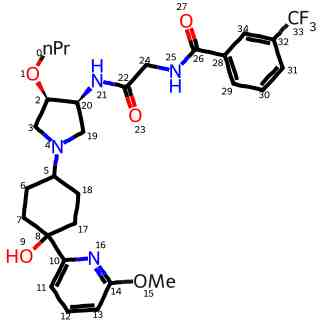 CCCO[C@@H]1CN(C2CCC(O)(c3cccc(OC)n3)CC2)C[C@@H]1NC(=O)CNC(=O)c1cccc(C(F)(F)F)c1